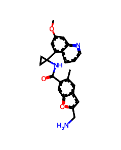 COc1cc(C2(NC(=O)c3cc4oc(CN)cc4cc3C)CC2)c2cccnc2c1